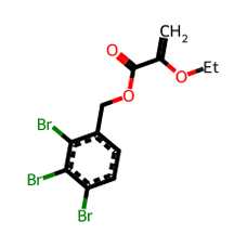 C=C(OCC)C(=O)OCc1ccc(Br)c(Br)c1Br